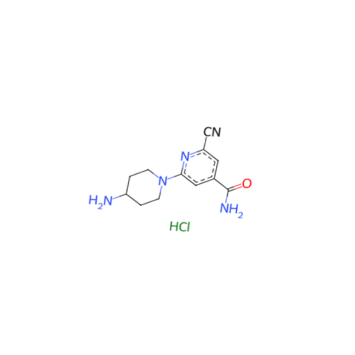 Cl.N#Cc1cc(C(N)=O)cc(N2CCC(N)CC2)n1